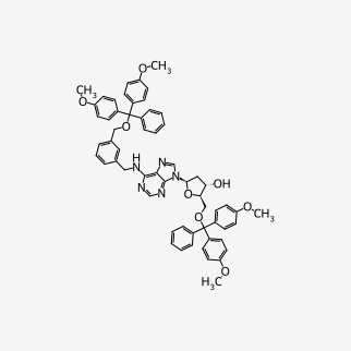 COc1ccc(C(OCc2cccc(CNc3ncnc4c3ncn4[C@H]3C[C@H](O)[C@@H](COC(c4ccccc4)(c4ccc(OC)cc4)c4ccc(OC)cc4)O3)c2)(c2ccccc2)c2ccc(OC)cc2)cc1